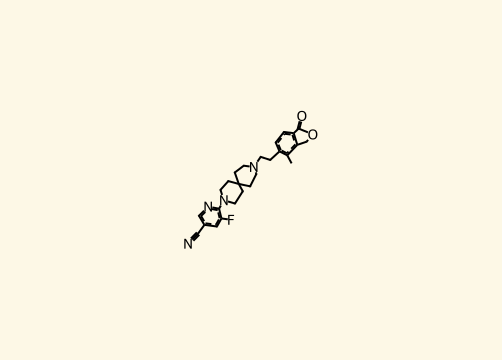 Cc1c(CCN2CCC3(CC2)CCN(c2ncc(C#N)cc2F)CC3)ccc2c1COC2=O